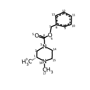 C[C@@H]1CN(C(=O)OCc2ccccc2)CCN1C